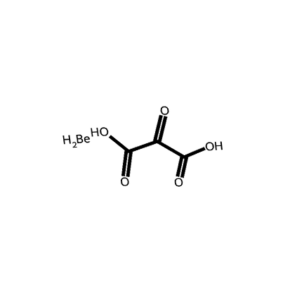 O=C(O)C(=O)C(=O)O.[BeH2]